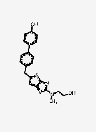 CN(CCO)c1nc2sc(Cc3ccc(-c4ccc(O)cc4)cc3)cc2s1